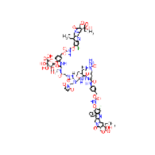 CCc1c2c(nc3cc(F)c(OCNC(=O)OCc4ccc(NC(=O)[C@H](CCCNC(N)=O)NC(=O)[C@@H](NC(=O)CN(CCN5C(=O)C=CC5=O)CC(=O)NCCC(=O)N(C)CC(=O)Nc5cc(COC(=O)NCOc6cc7c(CC)c8c(nc7cc6F)-c6cc7c(c(=O)n6C8)COC(=O)[C@]7(O)CC)ccc5O[C@@H]5O[C@H](C(=O)O)[C@@H](O)[C@H](O)[C@H]5O)C(C)C)cc4)cc13)-c1cc3c(c(=O)n1C2)COC(=O)[C@]3(O)CC